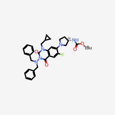 CC(C)(C)OC(=O)N[C@H]1CCN(c2cc3c(cc2F)c(=O)n(N(Cc2ccccc2)Cc2ccccc2)c(=O)n3CC2CC2)C1